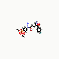 CCOP(=O)(OCC)c1ccc(NC(=O)CCc2cnoc2-c2ccc(F)cc2)cc1